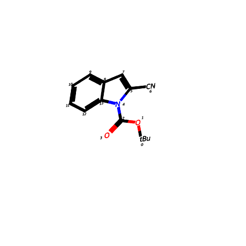 CC(C)(C)OC(=O)n1c(C#N)cc2ccccc21